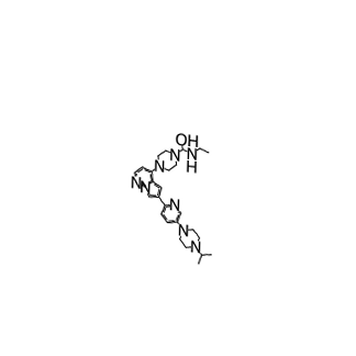 CCNC(O)N1CCN(c2ccnn3cc(-c4ccc(N5CCN(C(C)C)CC5)cn4)cc23)CC1